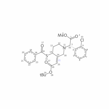 COC(=O)[C@H](c1ccccc1Cl)N1CCC(SC(=O)c2ccccc2)/C(=C\C(=O)OC(C)(C)C)C1